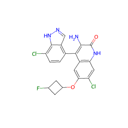 Nc1c(-c2ccc(Cl)c3[nH]ncc23)c2cc(OC3CC(F)C3)c(Cl)cc2[nH]c1=O